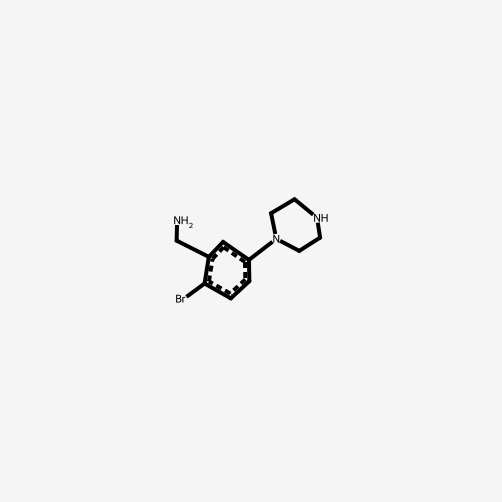 NCc1cc(N2CCNCC2)ccc1Br